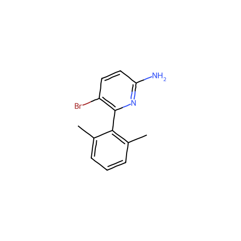 Cc1cccc(C)c1-c1nc(N)ccc1Br